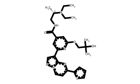 CCN(CC)[C@@H](C)CNC(=O)c1cc(OCC(C)(C)O)nc(-c2cnn3ccc(-c4cccs4)nc23)c1